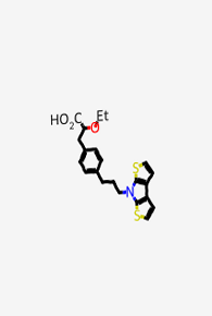 CCOC(Cc1ccc(CCCn2c3sccc3c3ccsc32)cc1)C(=O)O